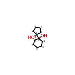 OC1(C2(O)CCCC2)CCCCC1